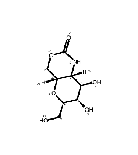 O=C1N[C@@H]2[C@@H](O)[C@@H](O)[C@@H](CO)O[C@@H]2CO1